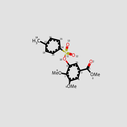 COC(=O)c1cc(OC)c(OC)c(OS(=O)(=O)c2ccc(C)cc2)c1